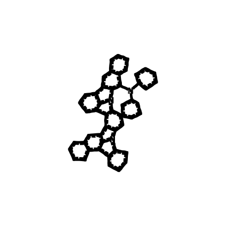 c1ccc(N(c2ccccc2)c2c3ccccc3cc3c4cccc5c6c7c8cc9ccccc9c9c%10ccccc%10n(c7ccc6n(c23)c45)c89)cc1